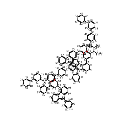 CCCC(c1cccc(-c2cccc3c2c2ccccc2n3-c2ccccc2)c1)C(CC)N(c1ccc(-c2cccc(-c3ccccc3)c2)cc1)c1ccc(-c2ccc(-c3cccc(-c4cccc(-c5ccc(N(c6cccc(-c7ccccc7)c6)c6ccccc6-c6cccc(-c7cccc8c7c7ccccc7n8-c7ccccc7)c6)cc5)c4)c3)c(-c3ccccc3)c2)cc1